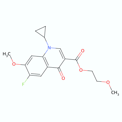 COCCOC(=O)c1cn(C2CC2)c2cc(OC)c(F)cc2c1=O